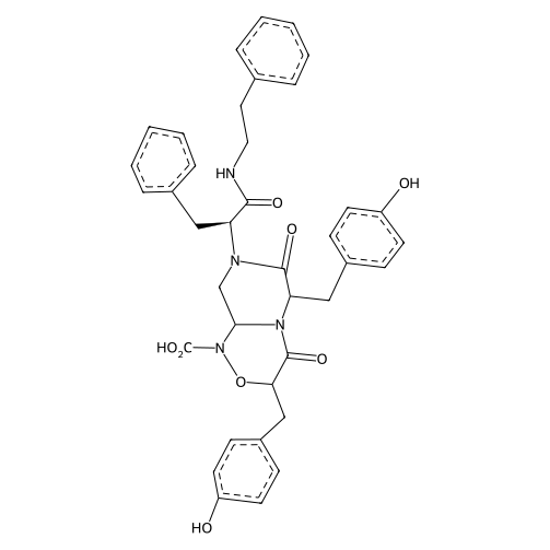 O=C(NCCc1ccccc1)[C@H](Cc1ccccc1)N1CC2N(C(=O)O)OC(Cc3ccc(O)cc3)C(=O)N2C(Cc2ccc(O)cc2)C1=O